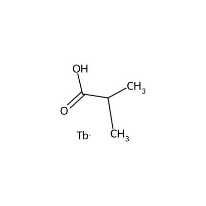 CC(C)C(=O)O.[Tb]